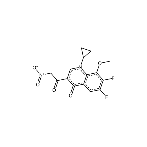 COc1c(F)c(F)cc2c(=O)c(C(=O)C[N+](=O)[O-])cn(C3CC3)c12